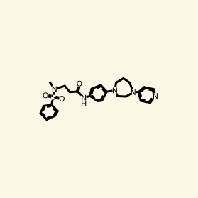 CN(CCC(=O)Nc1ccc(N2CCCN(c3ccncc3)CC2)cc1)S(=O)(=O)c1ccccc1